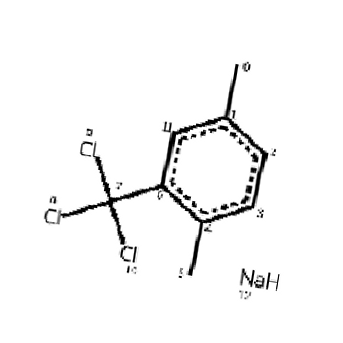 Cc1ccc(C)c(C(Cl)(Cl)Cl)c1.[NaH]